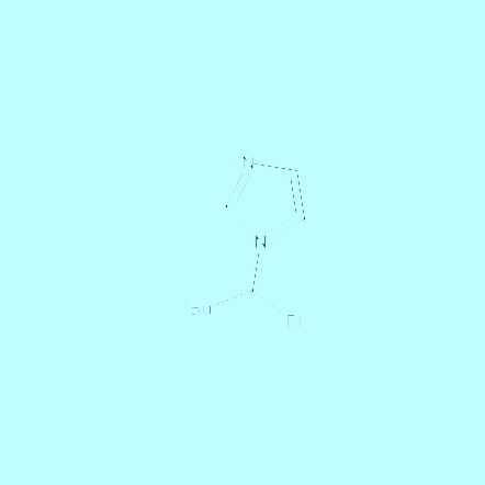 CCCCC(CC)n1ccnc1